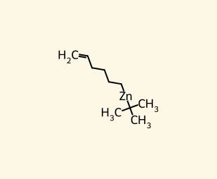 C=CCCC[CH2][Zn][C](C)(C)C